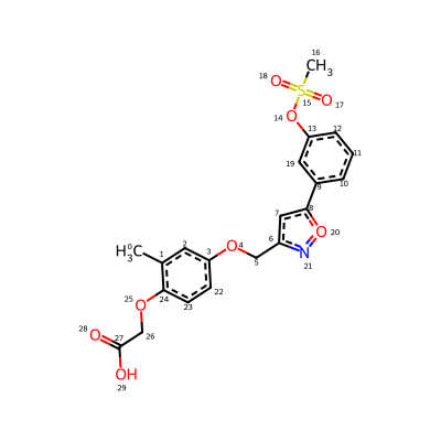 Cc1cc(OCc2cc(-c3cccc(OS(C)(=O)=O)c3)on2)ccc1OCC(=O)O